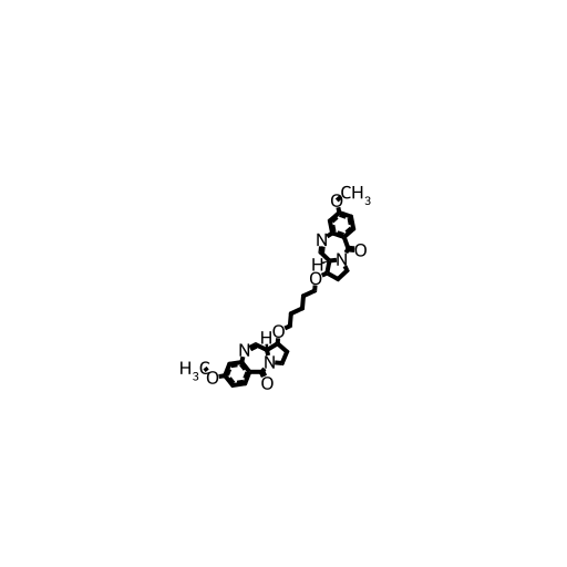 COc1ccc2c(c1)N=C[C@@H]1C(OCCCCCOC3CCN4C(=O)c5ccc(OC)cc5N=C[C@H]34)CCN1C2=O